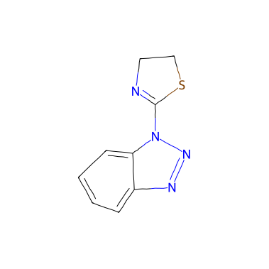 c1ccc2c(c1)nnn2C1=NCCS1